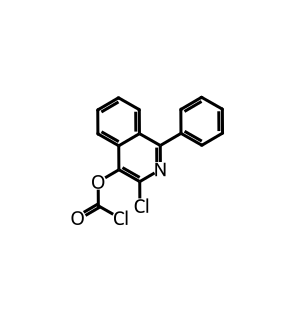 O=C(Cl)Oc1c(Cl)nc(-c2ccccc2)c2ccccc12